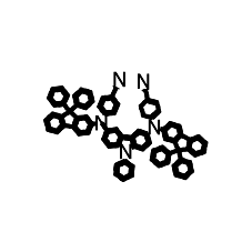 N#CC1=CC=C(N(c2ccc3c(c2)C(c2ccccc2)(c2ccccc2)c2ccccc2-3)c2ccc3c(c2)c2cc(N(c4ccc(C#N)cc4)c4ccc5c(c4)C(c4ccccc4)(c4ccccc4)c4ccccc4-5)ccc2n3-c2ccccc2)CC1